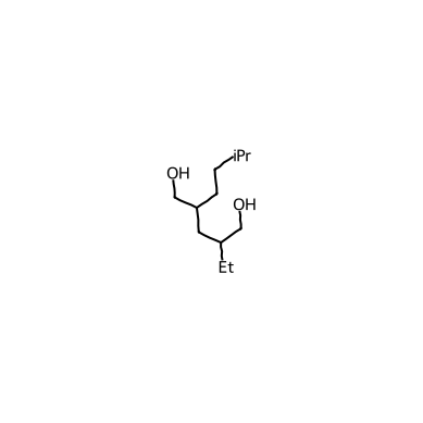 CCC(CO)CC(CO)CCC(C)C